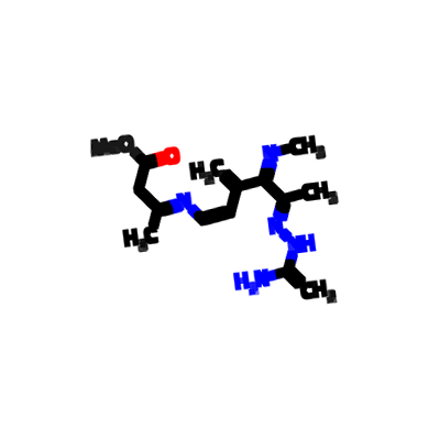 C=C(N)N/N=C(C)/C(=N\C)C(=C)/C=C\N=C(/C)CC(=O)OC